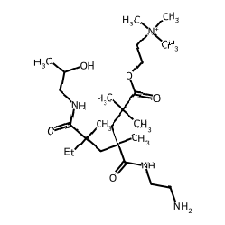 CCC(C)(CC(C)(CC(C)(C)C(=O)OCC[N+](C)(C)C)C(=O)NCCN)C(=O)NCC(C)O